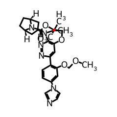 COCOc1cc(-n2ccnc2)ccc1-c1cc2c(nn1)N([C@@H]1C[C@H]3CC[C@@H](C1)N3C(=O)OC(C)(C)C)CCO2